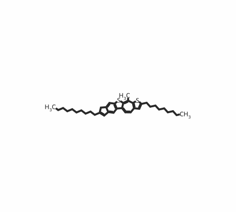 CCCCCCCCCCC1=Cc2cc3c4c(sc3cc2C1)=C(C)c1sc(CCCCCCCCC)cc1C=C=4